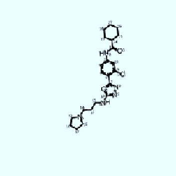 O=C(Nc1ccc(-c2nnc(NCCCN3CCCC3)o2)c(Cl)c1)C1CCCCC1